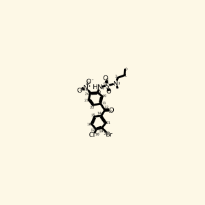 CCCN(C)S(=O)(=O)Nc1cc(C(=O)c2ccc(Cl)c(Br)c2)ccc1[N+](=O)[O-]